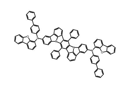 c1ccc(-c2ccc(N(c3ccc4c(c3)c3cccc5c6c(-c7ccccc7)c7c(c(-c8ccccc8)c6n4c35)c3cccc4c5cc(N(c6ccc(-c8ccccc8)cc6)c6cccc8c6oc6ccccc68)ccc5n7c43)c3cccc4c3oc3ccccc34)cc2)cc1